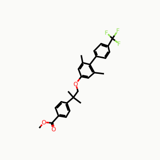 COC(=O)c1ccc(C(C)(C)COc2cc(C)c(-c3ccc(C(F)(F)F)cc3)c(C)c2)cc1